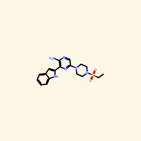 CCS(=O)(=O)N1CCN(c2cnc(N)c(-c3cc4ccccc4[nH]3)n2)CC1